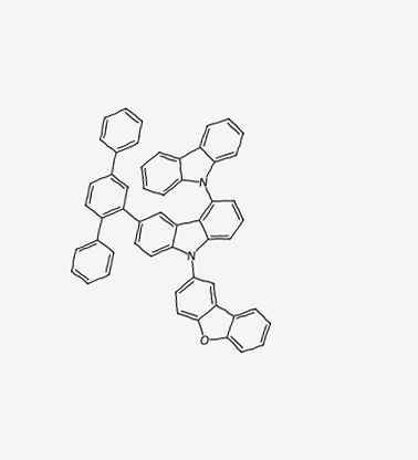 c1ccc(-c2ccc(-c3ccccc3)c(-c3ccc4c(c3)c3c(-n5c6ccccc6c6ccccc65)cccc3n4-c3ccc4oc5ccccc5c4c3)c2)cc1